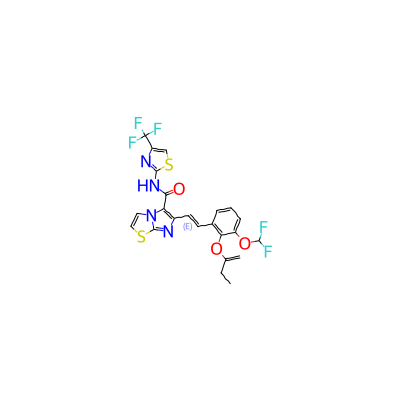 C=C(CC)Oc1c(/C=C/c2nc3sccn3c2C(=O)Nc2nc(C(F)(F)F)cs2)cccc1OC(F)F